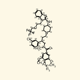 COc1cc(C(=O)N(C)CC(CCN2CCC(Nc3nc4ccccc4n3CCOCC(F)(F)F)CC2)c2cccc(Cl)c2)cc(OC)c1OC